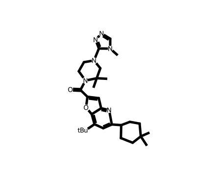 Cn1cnnc1N1CCN(C(=O)c2cc3nc(C4CCC(C)(C)CC4)cc(C(C)(C)C)c3o2)C(C)(C)C1